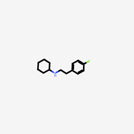 Fc1ccc(CCNC2CCCCC2)cc1